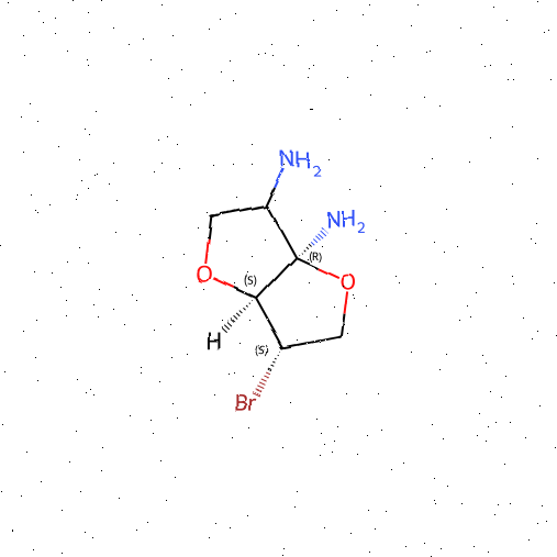 NC1CO[C@@H]2[C@@H](Br)CO[C@]12N